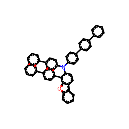 c1ccc(-c2ccc(-c3ccc(N(c4ccc(-c5ccccc5)cc4)c4ccc5c(oc6ccccc65)c4-c4ccc(-c5ccccc5)cc4)cc3)cc2)cc1